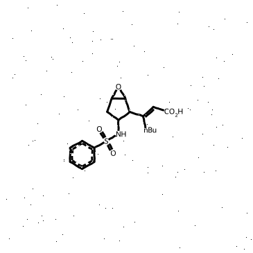 CCCCC(=CC(=O)O)C1C(NS(=O)(=O)c2ccccc2)CC2OC21